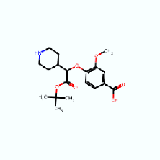 COc1cc(C(=O)O)ccc1OC(C(=O)OC(C)(C)C)C1CCNCC1